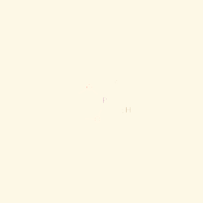 S=P1(S)OCCO1